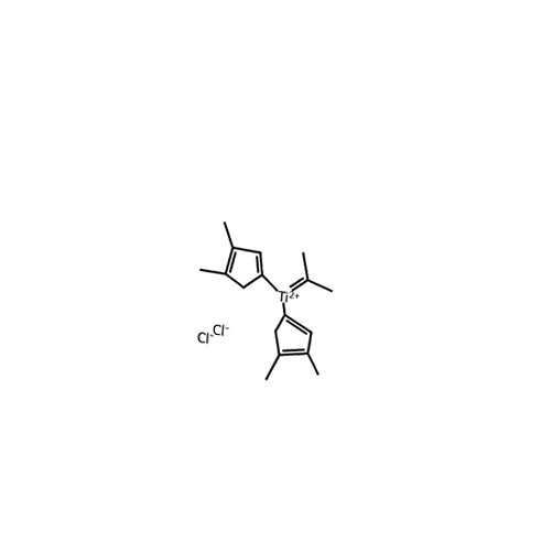 CC1=C(C)C[C]([Ti+2]([C]2=CC(C)=C(C)C2)=[C](C)C)=C1.[Cl-].[Cl-]